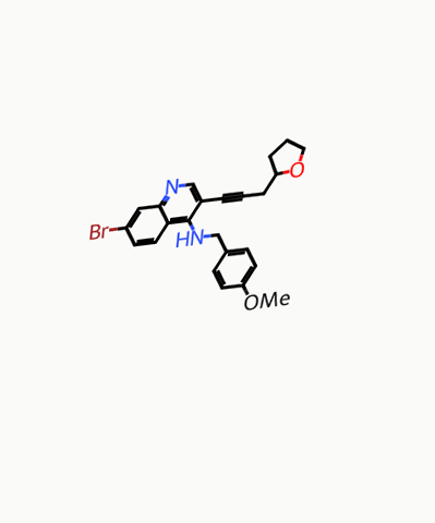 COc1ccc(CNc2c(C#CCC3CCCO3)cnc3cc(Br)ccc23)cc1